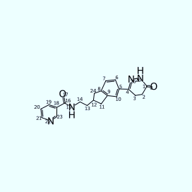 O=C1CCC(c2ccc3c(c2)CC(CCNC(=O)c2cccnc2)C3)=NN1